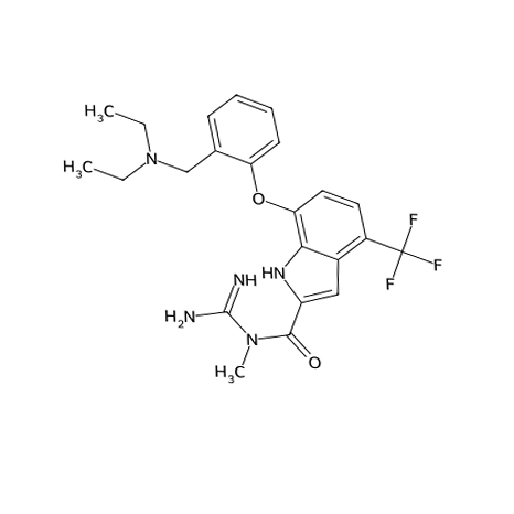 CCN(CC)Cc1ccccc1Oc1ccc(C(F)(F)F)c2cc(C(=O)N(C)C(=N)N)[nH]c12